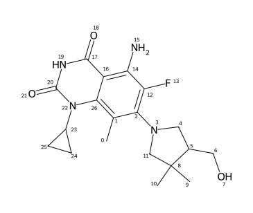 Cc1c(N2CC(CO)C(C)(C)C2)c(F)c(N)c2c(=O)[nH]c(=O)n(C3CC3)c12